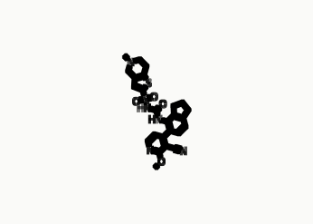 COc1nccc(-c2ccc3c(c2NC(=O)NS(=O)(=O)c2cc4c(s2)CCN(C)C4)CCC3)c1C#N